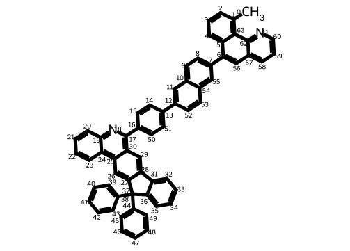 Cc1cccc2c(-c3ccc4cc(-c5ccc(-c6nc7ccccc7c7cc8c(cc67)-c6ccccc6C8(c6ccccc6)c6ccccc6)cc5)ccc4c3)cc3cccnc3c12